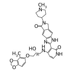 Cc1c(OC[C@H](O)CNc2cc[nH]c(=O)c2-c2nc3cc4c(cc3[nH]2)CN(C2CCN(C)CC2)C4=O)ccc2c1OCO2